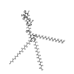 CCCCCCCCCCCCCCCCCCOc1cc(COC(=O)CCC(=O)OC2C[C@H](n3cc(C)c(=O)[nH]c3=O)O[C@@H]2CC)cc(OCCCCCCCCCCCCCCCCCC)c1OCCCCCCCCCCCCCCCCCC